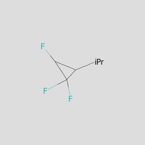 CC(C)C1C(F)C1(F)F